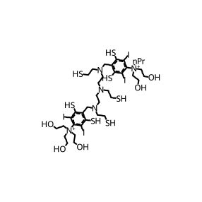 CCC[N+](CCO)(CCO)c1c(I)c(S)c(CN(CCS)CCN(CCS)CCN(CCS)Cc2c(S)c(I)c([N+](CCO)(CCO)CCO)c(I)c2S)c(S)c1I